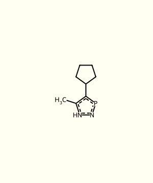 Cc1[nH]npc1C1CCCC1